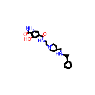 NC(=O)c1ccc(C(=O)NCCN2CCC(CNC3CC3c3ccccc3)CC2)cc1O